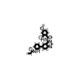 C=CC(=O)Nc1cccc(-c2ccc3ncnc(NC(=O)c4ccc(OC)cc4Cl)c3c2)c1